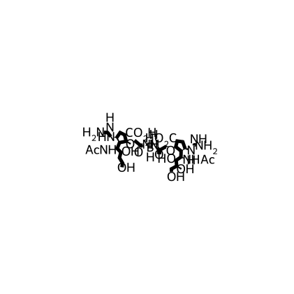 CC(=O)N[C@H]([C@@H](O)[C@@H](O)CO)[C@@H]1[C@H](OCC(=O)NBNC(=O)CO[C@H]2[C@@H]([C@H](NC(C)=O)[C@@H](O)CCO)[C@H](NC(=N)N)C[C@@H]2C(=O)O)[C@@H](C(=O)O)C[C@H]1NC(=N)N